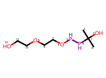 CC(C)(O)PPOCCOCCO